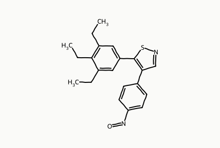 CCc1cc(-c2sncc2-c2ccc(N=O)cc2)cc(CC)c1CC